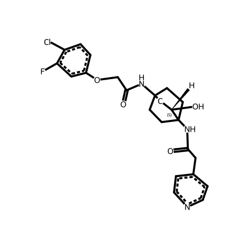 O=C(COc1ccc(Cl)c(F)c1)NC12CCC(NC(=O)Cc3ccncc3)(CC1)[C@@H](O)C2